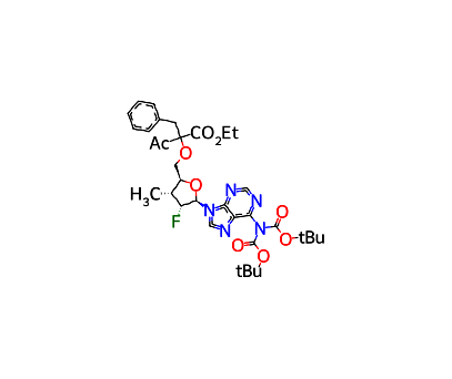 CCOC(=O)C(Cc1ccccc1)(OC[C@H]1O[C@@H](n2cnc3c(N(C(=O)OC(C)(C)C)C(=O)OC(C)(C)C)ncnc32)[C@H](F)[C@@H]1C)C(C)=O